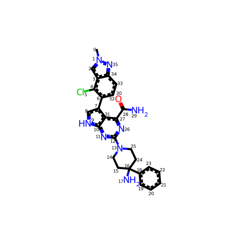 Cn1cc2c(Cl)c(-c3c[nH]c4nc(N5CCC(N)(c6ccccc6)CC5)nc(C(N)=O)c34)ccc2n1